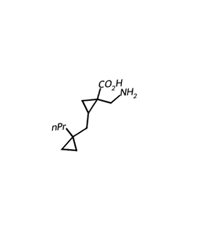 CCCC1(CC2CC2(CN)C(=O)O)CC1